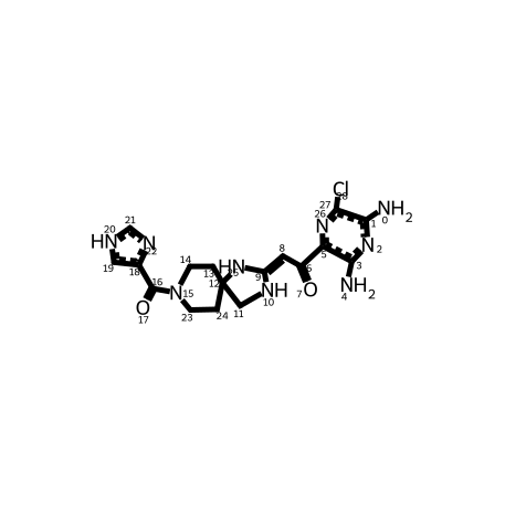 Nc1nc(N)c(C(=O)/C=C2\NCC3(CCN(C(=O)c4c[nH]cn4)CC3)N2)nc1Cl